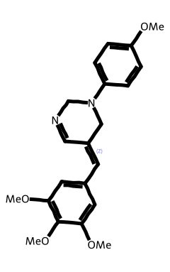 COc1ccc(N2CN=C/C(=C\c3cc(OC)c(OC)c(OC)c3)C2)cc1